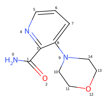 NC(=O)c1ncccc1N1CCOCC1